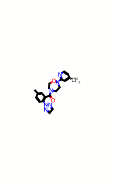 Cc1ccc(-n2nccn2)c(C(=O)N2CCON(c3cc(C(F)(F)F)ccn3)CC2)c1